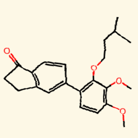 COc1ccc(-c2ccc3c(c2)CCC3=O)c(OCCC(C)C)c1OC